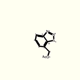 CC(=O)OCc1cccc2nnsc12